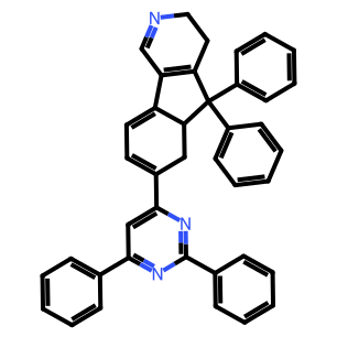 C1=NCCC2=C1C1=CC=C(c3cc(-c4ccccc4)nc(-c4ccccc4)n3)CC1C2(c1ccccc1)c1ccccc1